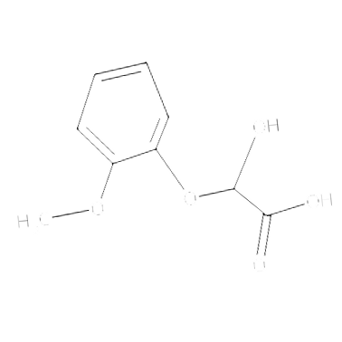 COc1ccccc1OC(O)C(=O)O